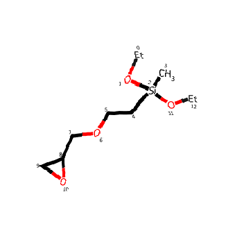 CCO[Si](C)(CCOCC1CO1)OCC